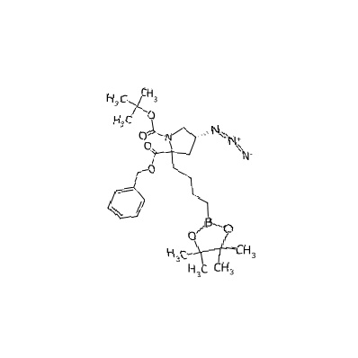 CC(C)(C)OC(=O)N1C[C@H](N=[N+]=[N-])CC1(CCCCB1OC(C)(C)C(C)(C)O1)C(=O)OCc1ccccc1